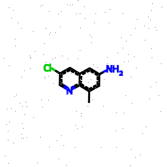 Cc1cc(N)cc2cc(Cl)cnc12